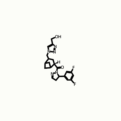 O=C([C@H]1CC(Cn2cc(CO)nn2)C2CC1C2)N1N=CCC1c1cc(F)cc(F)c1